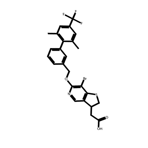 Cc1cc(C(F)(F)F)cc(C)c1-c1cccc(COc2ncc3c(c2Br)SCC3CC(=O)O)c1